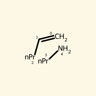 C=CCCC.CCCN